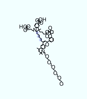 COCCOCCOCCOCCOCCOCCN1c2cc3c(cc2C(C)=CC1(C)C)C(/C=C/C=C/C=C1/N(CCCS(=O)(=O)O)c2ccc(S(=O)(=O)O)cc2C1(C)CCCC(=O)ON1C(=O)CCC1=O)=CC(c1ccccc1)O3